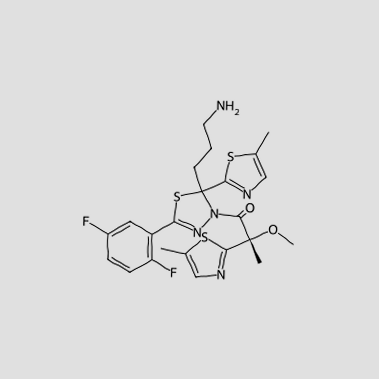 CO[C@@](C)(C(=O)N1N=C(c2cc(F)ccc2F)SC1(CCCN)c1ncc(C)s1)c1ncc(C)s1